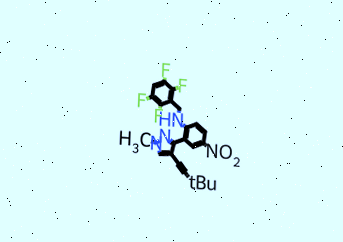 Cn1cc(C#CC(C)(C)C)c(-c2cc([N+](=O)[O-])ccc2NCc2c(F)c(F)cc(F)c2F)n1